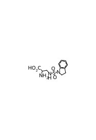 NC(CNS(=O)(=O)N1CCc2ccccc21)C(=O)O